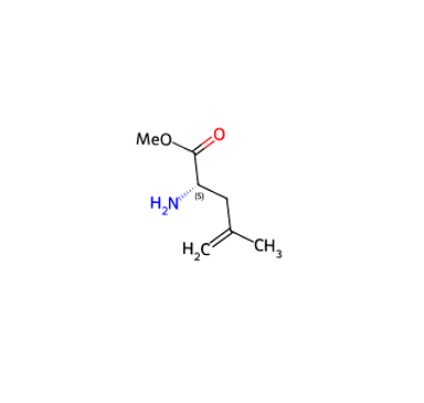 C=C(C)C[C@H](N)C(=O)OC